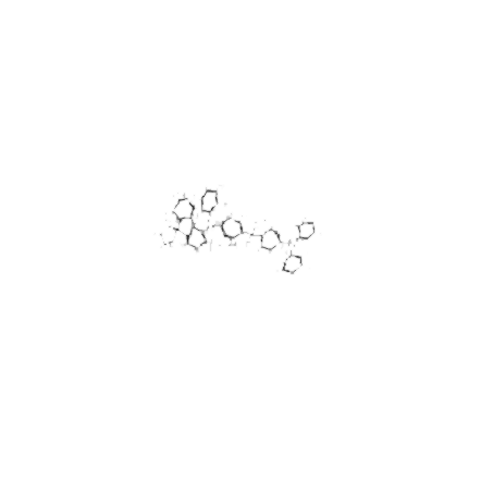 CCCCCC(CC)(c1ccc(N(c2ccccc2)c2ccccc2)cc1)c1ccc(N(c2ccccc2)c2cccc3c2-c2ccccc2C32CCCC2)cc1